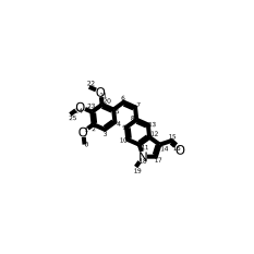 COc1ccc(/C=C\c2ccc3c(c2)c(C=O)cn3C)c(OC)c1OC